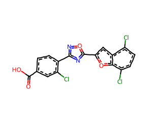 O=C(O)c1ccc(-c2noc(-c3cc4c(Cl)ccc(Cl)c4o3)n2)c(Cl)c1